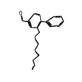 CCCCCCCCc1cc(C=O)ccc1-c1ccccc1